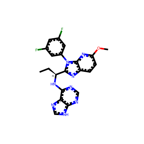 CC[C@H](Nc1ncnc2[nH]cnc12)c1nc2ccc(OC)nc2n1-c1cc(F)cc(F)c1